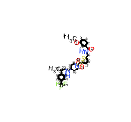 COc1cccc(C(=O)NCc2ccc(S(=O)(=O)N3CCC(NCC(C)c4ccc(C(F)(F)F)cc4)CC3)s2)c1